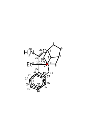 CCC(CC1C2CCC1C[N+](C)(Cc1ccccc1)C2)(C(N)=O)c1ccccc1